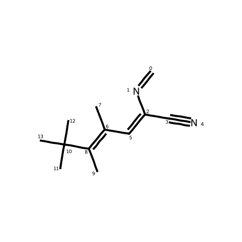 C=N/C(C#N)=C\C(C)=C(/C)C(C)(C)C